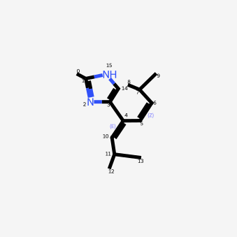 Cc1nc(C(/C=C\C(C)C)=C/C(C)C)c[nH]1